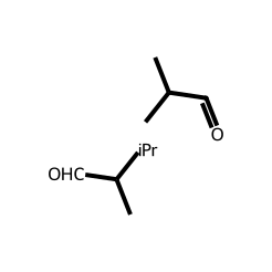 CC(C)C(C)C=O.CC(C)C=O